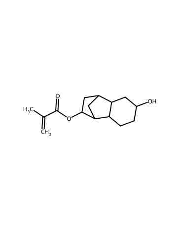 C=C(C)C(=O)OC1CC2CC1C1CCC(O)CC21